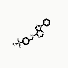 NS(=O)(=O)c1ccc(CNc2ncnc3c2cnn3-c2ccccc2)cc1